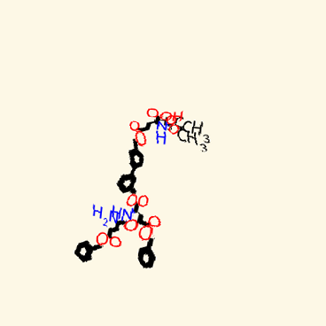 CC(C)(C)OC(=O)N[C@@H](CCC(=O)OCc1ccc(-c2cccc(COC(=O)[C@H](CCC(=O)OCc3ccccc3)NC(=O)[C@@H](N)CCC(=O)OCc3ccccc3)c2)cc1)C(=O)O